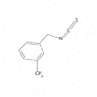 FC(F)(F)c1cccc(CN=C=S)c1